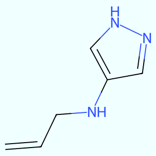 C=CCNc1cn[nH]c1